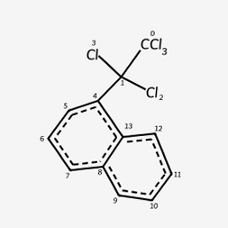 ClC(Cl)(Cl)C(Cl)(Cl)c1cccc2ccccc12